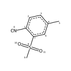 [C-]#[N+]c1ccc(C)cc1S(C)(=O)=O